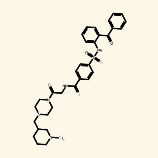 CN1CCCC(CN2CCN(C(=O)CNC(=O)c3ccc(S(=O)(=O)Nc4ccccc4C(=O)c4ccccc4)cc3)CC2)C1